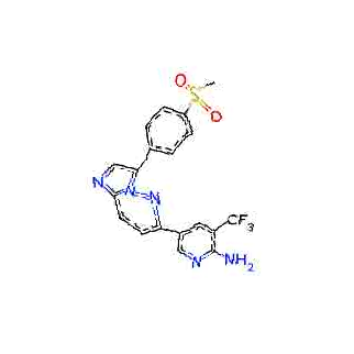 CS(=O)(=O)c1ccc(-c2cnc3ccc(-c4cnc(N)c(C(F)(F)F)c4)nn23)cc1